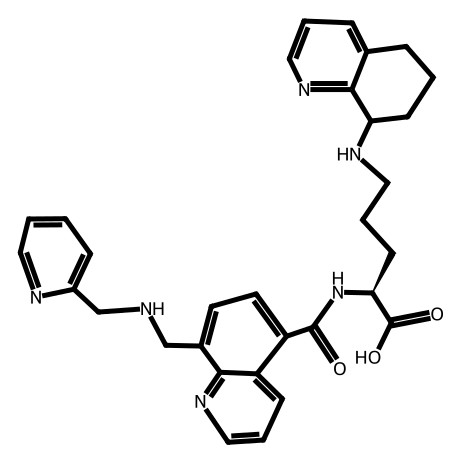 O=C(N[C@@H](CCCNC1CCCc2cccnc21)C(=O)O)c1ccc(CNCc2ccccn2)c2ncccc12